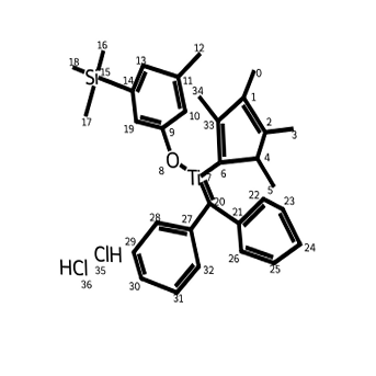 CC1=C(C)C(C)[C]([Ti]([O]c2cc(C)cc([Si](C)(C)C)c2)=[C](c2ccccc2)c2ccccc2)=C1C.Cl.Cl